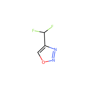 FC(F)c1conn1